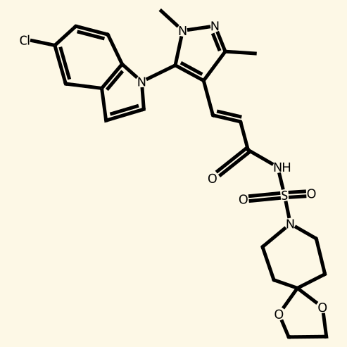 Cc1nn(C)c(-n2ccc3cc(Cl)ccc32)c1C=CC(=O)NS(=O)(=O)N1CCC2(CC1)OCCO2